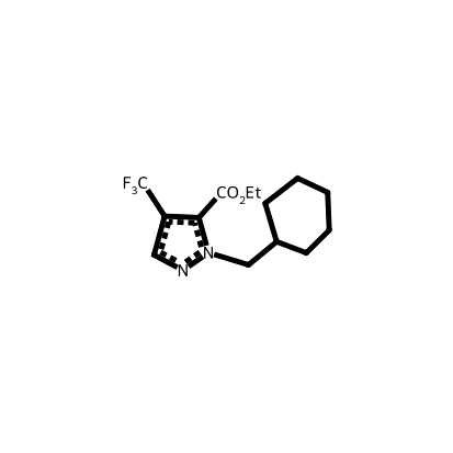 CCOC(=O)c1c(C(F)(F)F)cnn1CC1CCCCC1